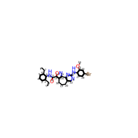 CCc1cccc(CC)c1NC(=O)c1onc2c1CCCc1cnc(Nc3ccc(Br)cc3OC)nc1-2